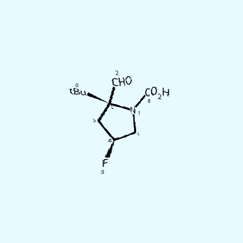 CC(C)(C)[C@]1(C=O)C[C@H](F)CN1C(=O)O